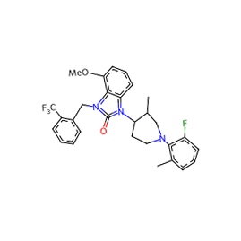 COc1cccc2c1n(Cc1ccccc1C(F)(F)F)c(=O)n2C1CCN(c2c(C)cccc2F)CC1C